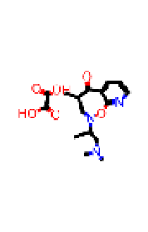 CC1CN(C(C)CN(C)C)Oc2ncccc2C1=O.O=C(O)C(=O)O